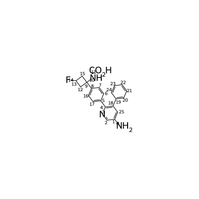 Nc1cnc(-c2ccc(C3(NC(=O)O)CC(F)C3)cc2)c(-c2ccccc2)c1